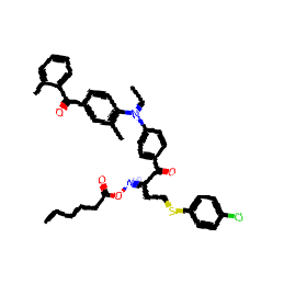 CCCCCC(=O)O/N=C(\CCSc1ccc(Cl)cc1)C(=O)c1ccc(N(CC)c2ccc(C(=O)c3ccccc3C)cc2C)cc1